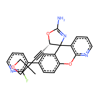 CC1(C#C[C@@H]2OC(N)=NC23c2cc(-c4cccnc4F)ccc2Oc2ncccc23)COC1